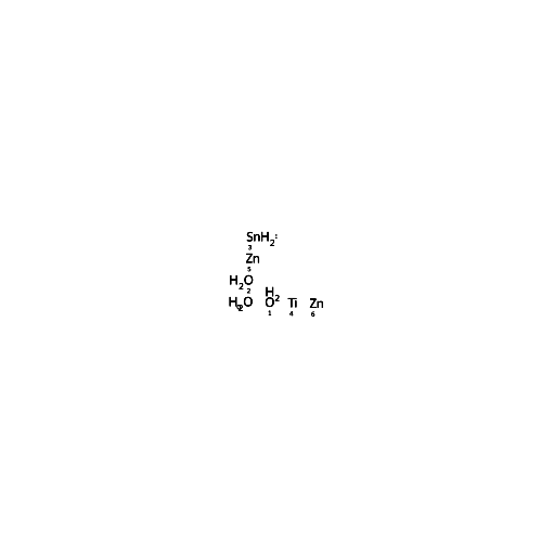 O.O.O.[SnH2].[Ti].[Zn].[Zn]